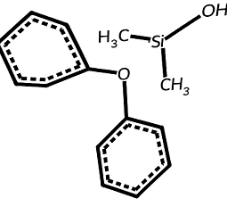 C[Si](C)O.c1ccc(Oc2ccccc2)cc1